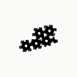 C=Cc1[c]cc(-c2ccc(-c3ccccc3)cc2)c(-c2ccccc2)c1-c1ccccc1